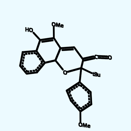 COC1=C(O)c2ccccc2C2OC(c3ccc(OC)cc3)(C(C)(C)C)C(=C=O)C=C12